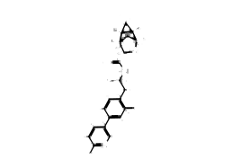 C[C@H]1[C@H]2[C@H]3C[C@H](N[C@@H]3C(=O)N[C@H](N)Cc3ccc(-c4ccc(Cl)nc4)cc3F)[C@@H]12